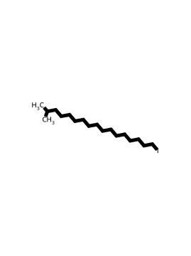 CC(C)CCCCCCCCCCCCCCCI